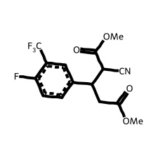 COC(=O)CC(c1ccc(F)c(C(F)(F)F)c1)C(C#N)C(=O)OC